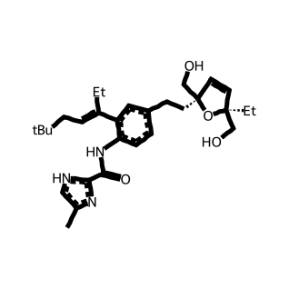 CC/C(=C\CC(C)(C)C)c1cc(CC[C@]2(CO)C=C[C@@](CC)(CO)O2)ccc1NC(=O)c1nc(C)c[nH]1